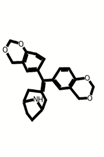 c1cc2c(cc1C(=C1CC3CCC(C1)N3)c1ccc3c(c1)COCO3)COCO2